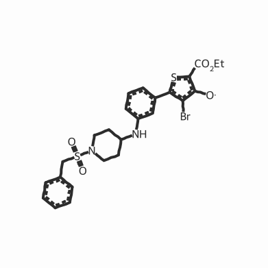 CCOC(=O)c1sc(-c2cccc(NC3CCN(S(=O)(=O)Cc4ccccc4)CC3)c2)c(Br)c1[O]